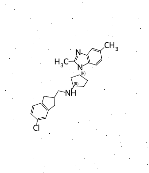 Cc1ccc2c(c1)nc(C)n2[C@@H]1CC[C@@H](NCC2Cc3ccc(Cl)cc3C2)C1